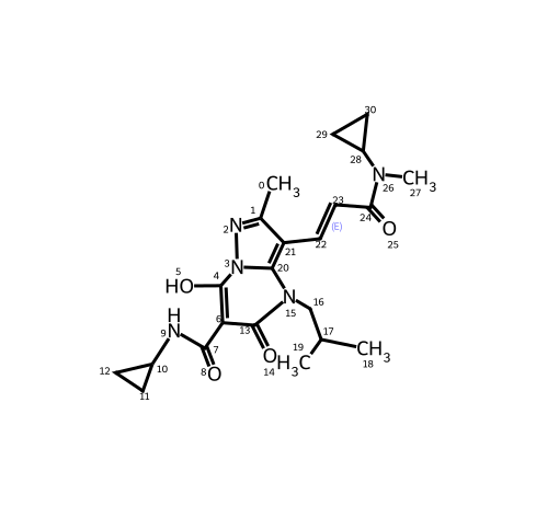 Cc1nn2c(O)c(C(=O)NC3CC3)c(=O)n(CC(C)C)c2c1/C=C/C(=O)N(C)C1CC1